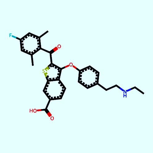 CCNCCc1ccc(Oc2c(C(=O)c3c(C)cc(F)cc3C)sc3cc(C(=O)O)ccc23)cc1